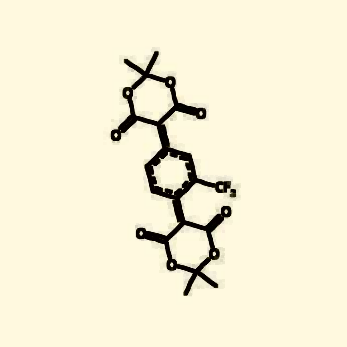 CC1(C)OC(=O)C(=c2ccc(=C3C(=O)OC(C)(C)OC3=O)c(C(F)(F)F)c2)C(=O)O1